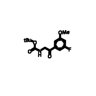 COc1cc(F)cc(C(=O)CNC(=O)OC(C)(C)C)c1